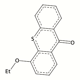 CCOc1cccc2c(=O)c3ccccc3sc12